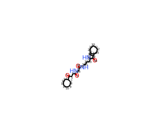 O=C(CCC(=O)C1CCCCCCCC1)NCC(=O)NCCCCC1NC2C3CCCCCCC(C3)C2C1=O